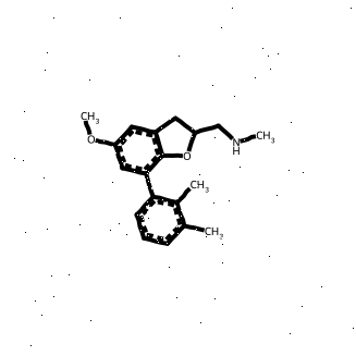 CNCC1Cc2cc(OC)cc(-c3cccc(C)c3C)c2O1